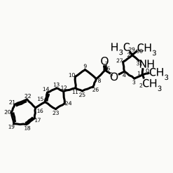 CC1(C)CC(OC(=O)C2CCC(C3CC=C(C4C=CC=CC=C4)CC3)CC2)CC(C)(C)N1